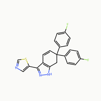 Fc1ccc(C2(c3ccc(F)cc3)C=Cc3c(-c4cncs4)n[nH]c3C2)cc1